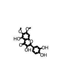 COc1cc2oc(-c3ccc(O)c(O)c3)c(O)c(=O)c2c(O)c1OC